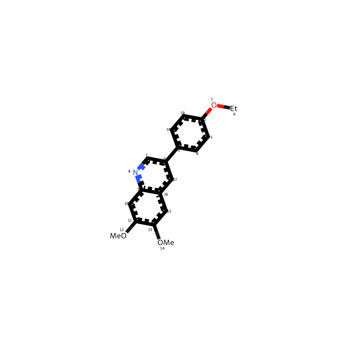 CCOc1ccc(-c2cnc3cc(OC)c(OC)cc3c2)cc1